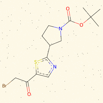 CC(C)(C)OC(=O)N1CCC(c2ncc(C(=O)CBr)s2)C1